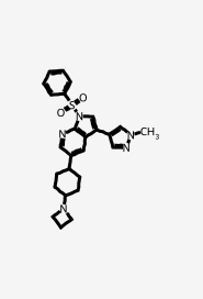 Cn1cc(-c2cn(S(=O)(=O)c3ccccc3)c3ncc(C4CCC(N5CCC5)CC4)cc23)cn1